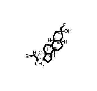 C=C(CBr)[C@H]1CC[C@H]2[C@@H]3CC[C@H]4C[C@@](O)(CF)CC[C@@H]4[C@H]3CC[C@]12C